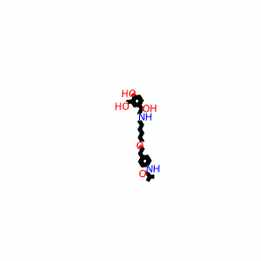 CC(C)C(=O)Nc1ccc(CCOCCCCCCNCC(O)c2ccc(O)c(CO)c2)cc1